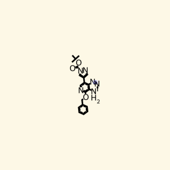 CC(C)(C)OC(=O)n1cc(-c2cnc(OCc3ccccc3)c(N)c2/N=N\I)cn1